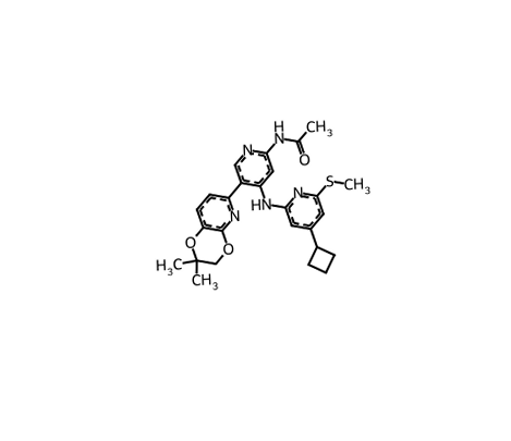 CSc1cc(C2CCC2)cc(Nc2cc(NC(C)=O)ncc2-c2ccc3c(n2)OCC(C)(C)O3)n1